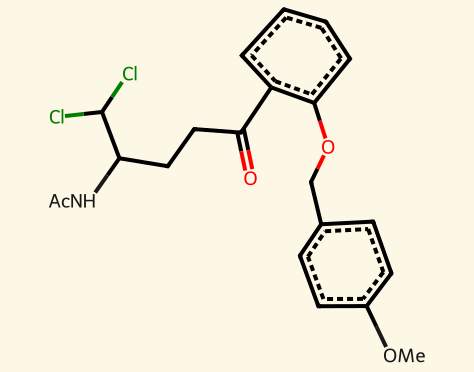 COc1ccc(COc2ccccc2C(=O)CCC(NC(C)=O)C(Cl)Cl)cc1